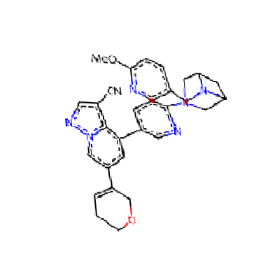 COc1ccc(CN2C3CC2CN(c2ccc(-c4cc(C5=CCCOC5)cn5ncc(C#N)c45)cn2)C3)cn1